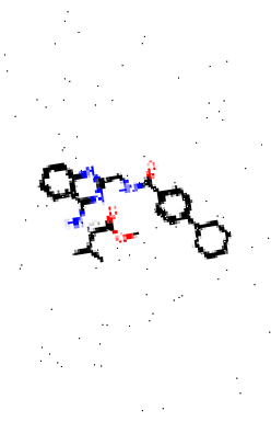 COC(=O)[C@@H](Nc1nc(CNC(=O)c2ccc(C3CCCCC3)cc2)nc2ccccc12)C(C)C